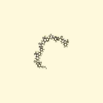 Cc1cnc2cc(C(=O)N3CCC(c4ccc(-c5ccn6cc(C(=O)N7CCC(c8ccc(C9CN(c%10ccc%11nc(C(=O)N%12CCC(c%13ccccc%13C(F)(F)F)CC%12)cn%11n%10)CCO9)cc8C(F)(F)F)CC7)nc6c5)cc4C(F)(F)F)CC3)[nH]c2c1